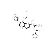 CCOc1c(-c2cnn(C)c2)cnc2ccc(NC(=N)SC(=N)C3CCCC3)nc12